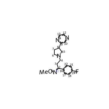 CO/N=C(\CCN1CCC(c2cnccn2)C1)c1ccc(F)cc1